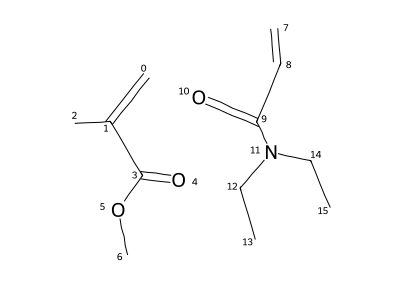 C=C(C)C(=O)OC.C=CC(=O)N(CC)CC